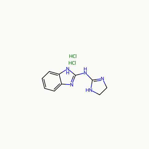 Cl.Cl.c1ccc2[nH]c(NC3=NCCN3)nc2c1